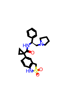 O=C(N[C@H](CN1CCCC1)c1ccccc1)C1(c2ccc3c(c2)CS(=O)(=O)N3)CC1